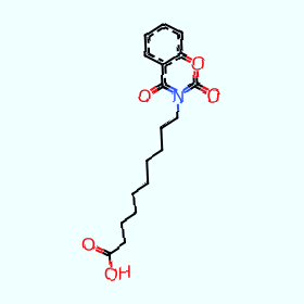 O=C(O)CCCCCCCCCn1c(=O)oc2ccccc2c1=O